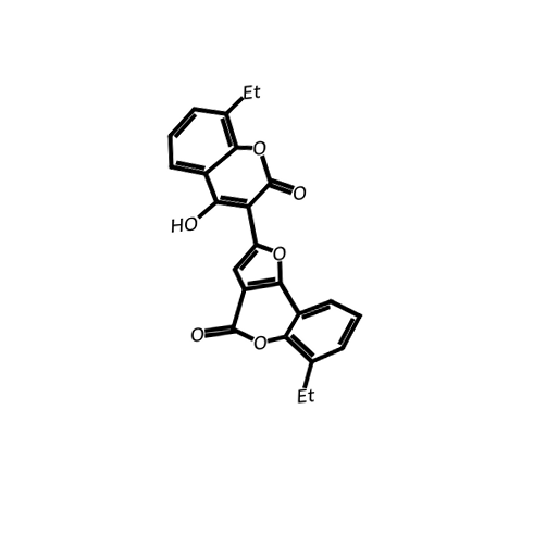 CCc1cccc2c(O)c(-c3cc4c(=O)oc5c(CC)cccc5c4o3)c(=O)oc12